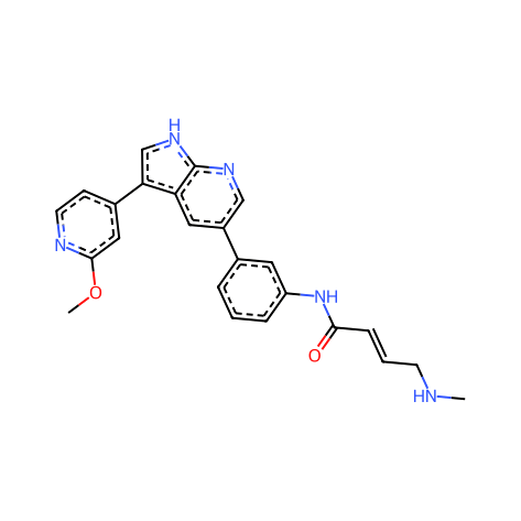 CNC/C=C/C(=O)Nc1cccc(-c2cnc3[nH]cc(-c4ccnc(OC)c4)c3c2)c1